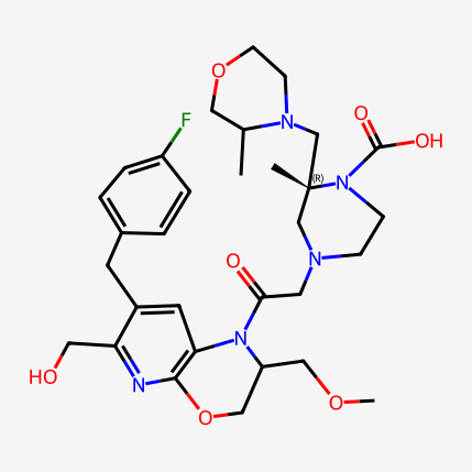 COCC1COc2nc(CO)c(Cc3ccc(F)cc3)cc2N1C(=O)CN1CCN(C(=O)O)[C@@](C)(CN2CCOCC2C)C1